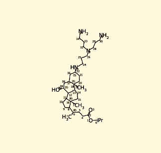 CC(C)OC(=O)CC[C@@H](C)C1CCC2C3C(CC[C@@]21C)[C@@]1(C)CC[C@H](NCCCN(CCCN)CCCN)CC1C[C@@H]3O